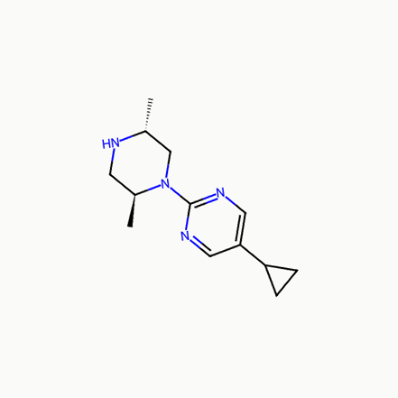 C[C@@H]1CN(c2ncc(C3CC3)cn2)[C@@H](C)CN1